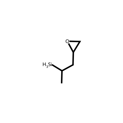 CC([SiH3])CC1CO1